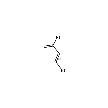 [CH]=C(/C=C/CC)CC